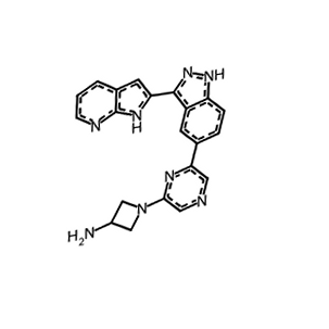 NC1CN(c2cncc(-c3ccc4[nH]nc(-c5cc6cccnc6[nH]5)c4c3)n2)C1